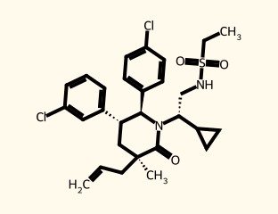 C=CC[C@@]1(C)C[C@H](c2cccc(Cl)c2)[C@@H](c2ccc(Cl)cc2)N([C@H](CNS(=O)(=O)CC)C2CC2)C1=O